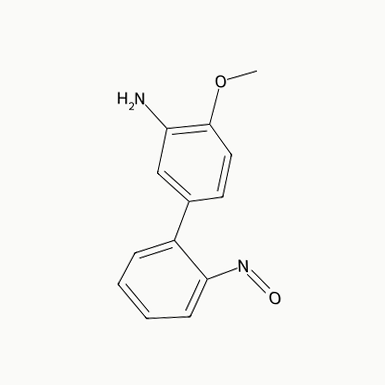 COc1ccc(-c2ccccc2N=O)cc1N